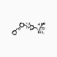 NC(CO)(CCc1ccc(OCc2cccc(OCc3ccccc3)c2)c(C(F)(F)F)c1)CO[PH2]=O